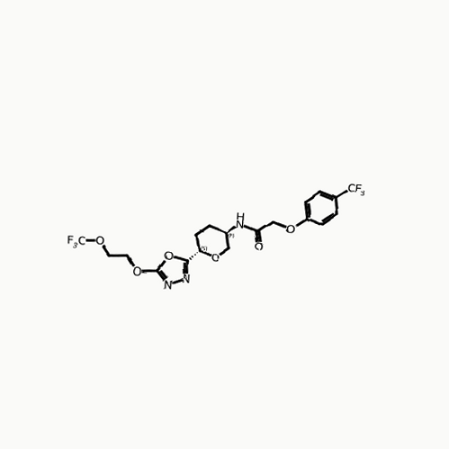 O=C(COc1ccc(C(F)(F)F)cc1)N[C@@H]1CC[C@@H](c2nnc(OCCOC(F)(F)F)o2)OC1